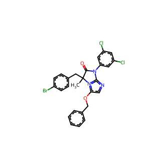 CC1(Cc2ccc(Br)cc2)C(=O)N(c2cc(Cl)cc(Cl)c2)c2ncc(OCc3ccccc3)n21